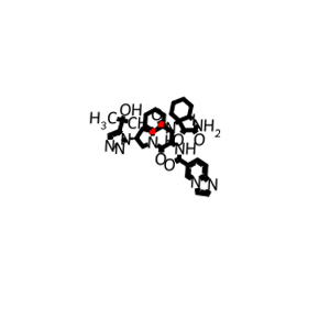 CC(C)(O)c1cnnn1[C@H]1C[C@@H](C(=O)NC2(C(=O)C(N)=O)CCCCC2I)N(C(=O)C(CC2CCCCC2)NC(=O)c2ccc3nccn3c2)C1